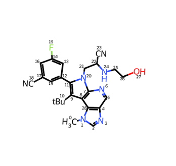 Cn1cnc2[c]nc3c(c(C(C)(C)C)c(-c4cc(F)cc(C#N)c4)n3CC(C#N)NCCO)c21